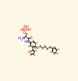 NC(COP(=O)(O)O)C(=O)Nc1ccc(OCCCCCc2ccccc2)c(-c2ccco2)c1